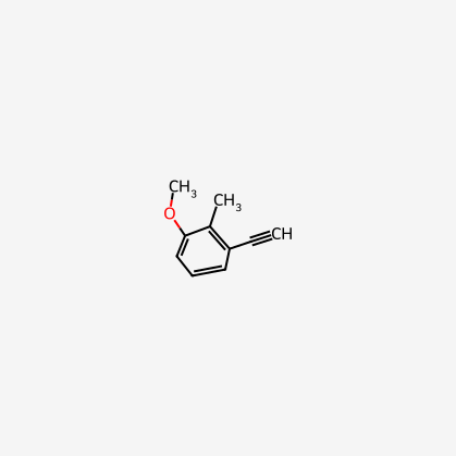 C#Cc1cccc(OC)c1C